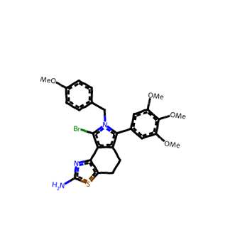 COc1ccc(Cn2c(Br)c3c(c2-c2cc(OC)c(OC)c(OC)c2)CCc2sc(N)nc2-3)cc1